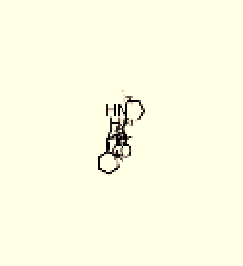 C[C@@H]1CCC[C@H]([C@H]2CC3=C4CCCC[C@]45CC(=O)[C@H]3C2(C)O5)N1